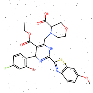 CCOC(=O)C1=C(CN2CCOCC2C(=O)O)NC(c2nc3ccc(OC)cc3s2)=NC1c1ccc(F)cc1Br